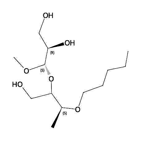 CCCCCO[C@@H](C)C(CO)O[C@H](OC)[C@H](O)CO